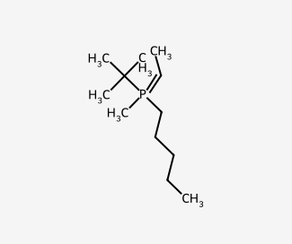 CC=P(C)(CCCCC)C(C)(C)C